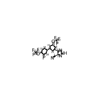 N#Cc1n[nH]nc1-c1cc(OC(F)(F)F)cc(-c2ccc(OC(F)(F)F)c(F)c2)c1